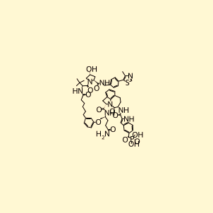 Cc1ncsc1-c1ccc(CNC(=O)[C@@H]2C[C@@H](O)CN2C(=O)[C@@H](NC(=O)CCCCCc2cccc(OC[C@H](CCC(N)=O)NC(=O)[C@@H]3Cc4cccc5c4N3C(=O)[C@@H](NC(=O)c3cc4cc(C(=O)P(=O)(O)O)ccc4[nH]3)CC5)c2)C(C)(C)C)cc1